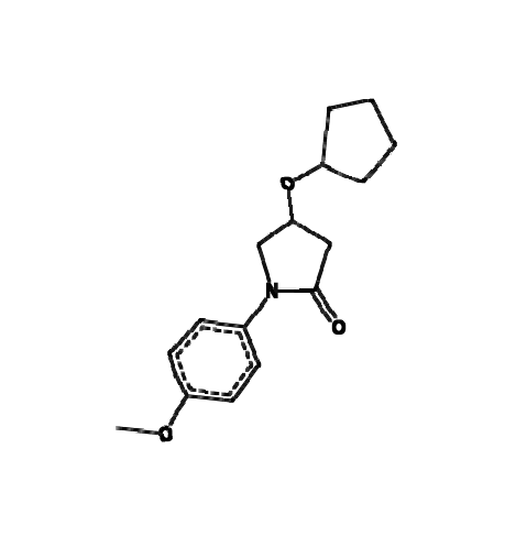 COc1ccc(N2CC(OC3CCCC3)CC2=O)cc1